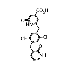 O=C(O)c1cc(Cc2cc(Cl)c(Cc3ccc[nH]c3=O)cc2Cl)[nH]c(=O)c1